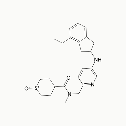 CCc1cccc2c1CC(Nc1ccc(CN(C)C(=O)C3CC[S+]([O-])CC3)nc1)C2